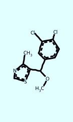 COC(c1ccc(Cl)c(Cl)c1)c1scnc1C